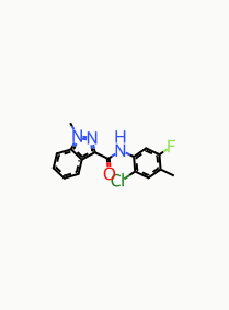 Cc1cc(Cl)c(NC(=O)c2nn(C)c3ccccc23)cc1F